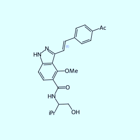 COc1c(C(=O)NC(CO)C(C)C)ccc2[nH]nc(/C=C/c3ccc(C(C)=O)cc3)c12